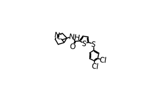 O=C(NC1CN2CCC1CC2)c1ccc(Sc2ccc(Cl)c(Cl)c2)s1